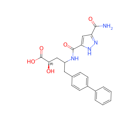 NC(=O)c1cc(C(=O)NC(Cc2ccc(-c3ccccc3)cc2)C[C@@H](O)C(=O)O)[nH]n1